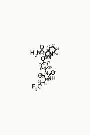 NC(=O)c1c(O[C@H]2CC[C@H](N3C(=O)NC(CCC(F)(F)F)C3=O)CC2)nn2ccccc12